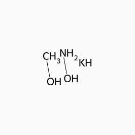 CO.NO.[KH]